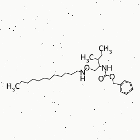 CCCCCCCCCCCCNOCC(NC(=O)OCc1ccccc1)C(C)CC